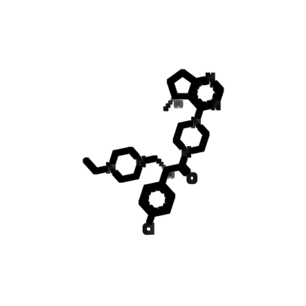 CCN1CCN(C[C@H](C(=O)N2CCN(c3ncnc4c3[C@H](C)CC4)CC2)c2ccc(Cl)cc2)CC1